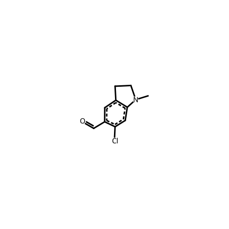 CN1CCc2cc(C=O)c(Cl)cc21